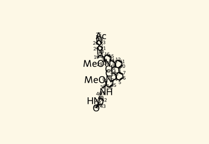 COc1nc(-c2cccc(-c3cccc(-c4ccc(C(C)N5CC6(CN(C(C)=O)C6)C5)c(OC)n4)c3Cl)c2Cl)ccc1CNC[C@@H]1CCC(=O)N1